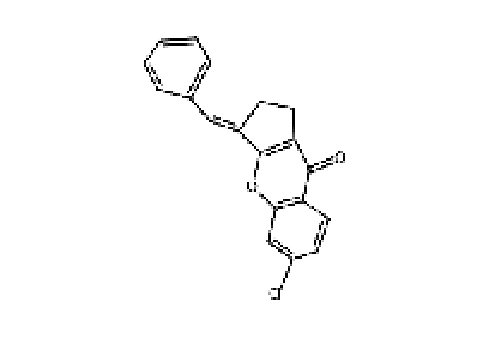 O=c1c2c(oc3cc(Cl)ccc13)C(=Cc1ccccc1)CC2